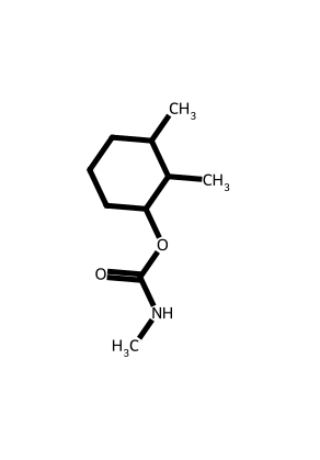 CNC(=O)OC1CCCC(C)C1C